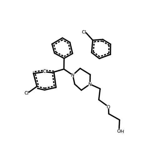 Clc1ccccc1.OCCOCCN1CCN(C(c2ccccc2)c2ccc(Cl)cc2)CC1